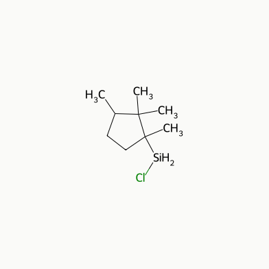 CC1CCC(C)([SiH2]Cl)C1(C)C